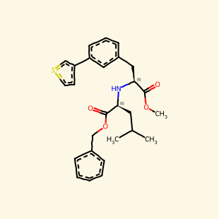 COC(=O)[C@H](Cc1cccc(-c2ccsc2)c1)N[C@@H](CC(C)C)C(=O)OCc1ccccc1